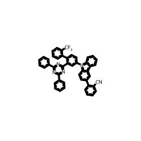 N#Cc1ccccc1-c1ccc2c(c1)c1ccccc1n2-c1ccc(-c2ccccc2C(F)(F)F)c(-c2nc(-c3ccccc3)nc(-c3ccccc3)n2)c1